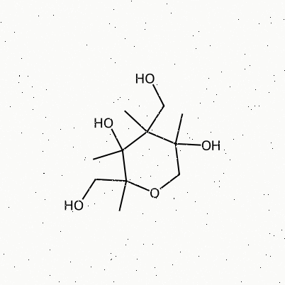 CC1(O)COC(C)(CO)C(C)(O)C1(C)CO